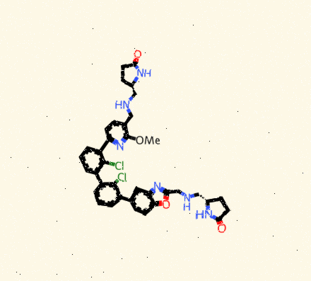 COc1nc(-c2cccc(-c3cccc(-c4ccc5oc(CNC[C@@H]6CCC(=O)N6)nc5c4)c3Cl)c2Cl)ccc1CNC[C@H]1CCC(=O)N1